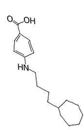 O=C(O)c1ccc(NCCCCC2CCCCCC2)cc1